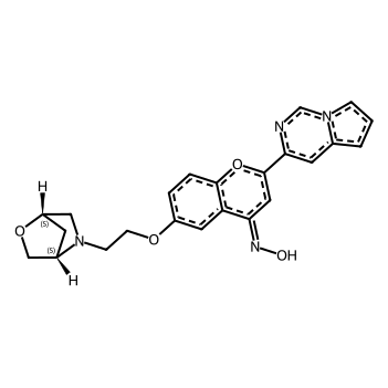 ON=c1cc(-c2cc3cccn3cn2)oc2ccc(OCCN3C[C@@H]4C[C@H]3CO4)cc12